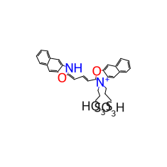 O=S(=O)(O)CCC[N+]1(CCCS(=O)(=O)O)c2cc3ccccc3cc2OC1C=CC=C1Nc2cc3ccccc3cc2O1